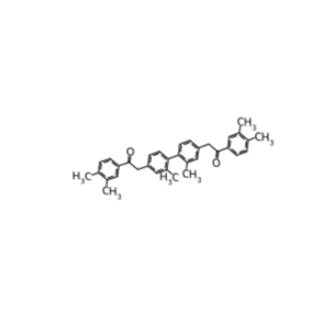 Cc1ccc(C(=O)Cc2ccc(-c3ccc(CC(=O)c4ccc(C)c(C)c4)cc3C)c(C)c2)cc1C